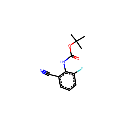 CC(C)(C)OC(=O)Nc1c(F)cccc1C#N